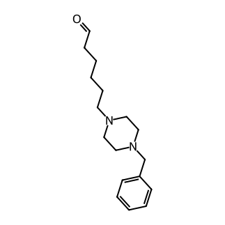 O=CCCCCCN1CCN(Cc2ccccc2)CC1